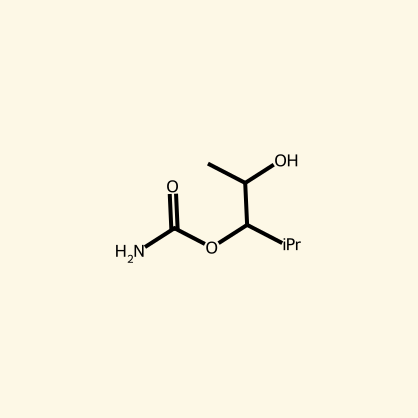 CC(C)C(OC(N)=O)C(C)O